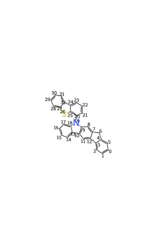 c1ccc2c(c1)Cc1cc3c(cc1-2)c1ccccc1n3-c1cccc2c1sc1ccccc12